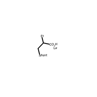 CCCCCCC(CC)C(=O)O.[La]